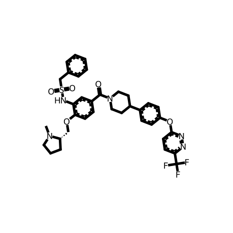 CN1CCC[C@H]1COc1ccc(C(=O)N2CCC(c3ccc(Oc4ccc(C(F)(F)F)nn4)cc3)CC2)cc1NS(=O)(=O)Cc1ccccc1